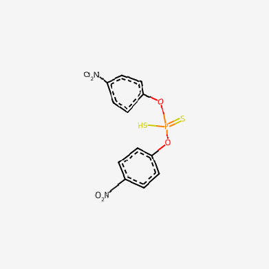 O=[N+]([O-])c1ccc(OP(=S)(S)Oc2ccc([N+](=O)[O-])cc2)cc1